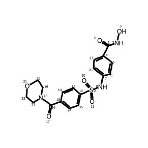 O=C(NO)c1ccc(NS(=O)(=O)c2ccc(C(=O)N3CCOCC3)cc2)cc1